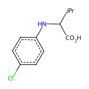 CC(C)C(Nc1ccc(Cl)cc1)C(=O)O